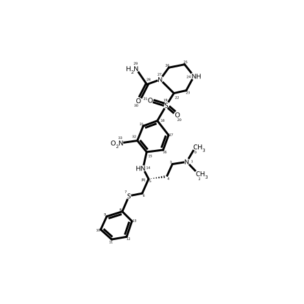 CN(C)CC[C@H](CSc1ccccc1)Nc1ccc(S(=O)(=O)C2CNCCN2C(N)=O)cc1[N+](=O)[O-]